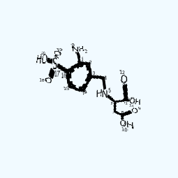 Nc1cc(CNC(CC(=O)O)C(=O)O)ccc1S(=O)(=O)O